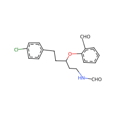 O=CNCCC(CCc1ccc(Cl)cc1)Oc1ccccc1C=O